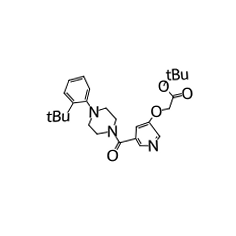 CC(C)(C)OC(=O)COc1cncc(C(=O)N2CCN(c3ccccc3C(C)(C)C)CC2)c1